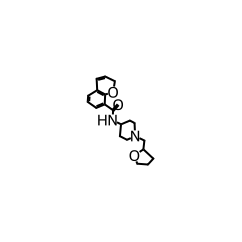 O=C(NC1CCN(CC2CCCO2)CC1)c1cccc2c1OCC=C2